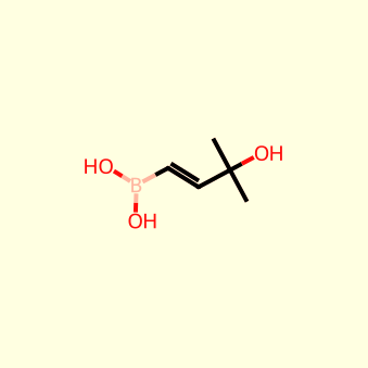 CC(C)(O)C=CB(O)O